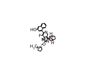 CN1CCC[C@H]1COc1nc(N2[C@@H]3CC[C@H]2CC(O)C3)c2cnc(-c3cc(O)cc4ccccc34)c(F)c2n1